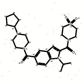 CC(C)n1c(C(=O)N2CCS(=O)(=O)CC2)cc2cc(C(=O)N3CCN(C4CCCC4)CC3)ccc21